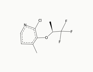 Cc1ccnc(Cl)c1O[C@@H](C)C(F)(F)F